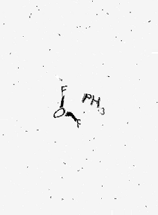 FOF.P